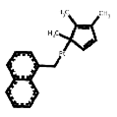 CC1=C(C)[C](C)([Pt][CH2]c2cccc3ccccc23)C=C1